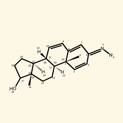 C[C@]12C=CC(=N[N])C=C1C=C[C@@H]1[C@@H]2CC[C@]2(C)C(O)CC[C@@H]12